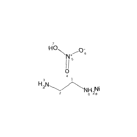 NCCN.O=[N+]([O-])O.[Ni]